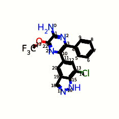 Nc1nc(-c2ccccc2)c(-c2cc(Cl)c3[nH]ncc3c2)nc1OC(F)(F)F